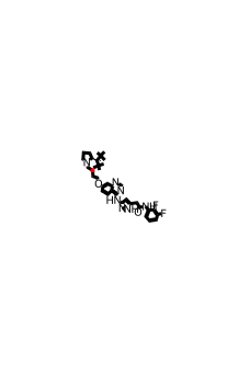 CC(C)(C)[C]([C@@H]1CCCN1CCCCOc1ccc2c(Nc3cc(CC(=O)Nc4cccc(F)c4F)[nH]n3)ncnc2c1)C(C)(C)C